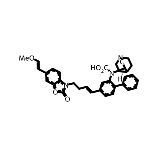 CO/C=C/c1ccc2c(c1)oc(=O)n2CC/C=C/c1ccc(-c2ccccc2)c(N(C(=O)O)[C@H]2CN3CCC2CC3)c1